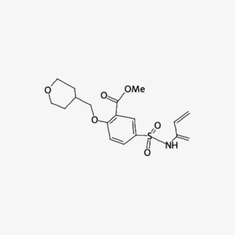 C=CC(=C)NS(=O)(=O)c1ccc(OCC2CCOCC2)c(C(=O)OC)c1